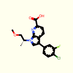 COC[C@@H](C)n1cc(-c2ccc(Cl)c(F)c2)c2ccc(C(=O)O)nc21